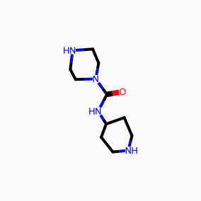 O=C(NC1CCNCC1)N1CCNCC1